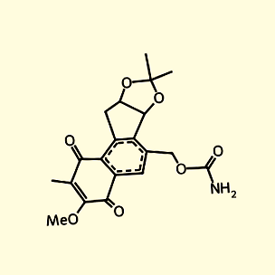 COC1=C(C)C(=O)c2c(cc(COC(N)=O)c3c2CC2OC(C)(C)OC32)C1=O